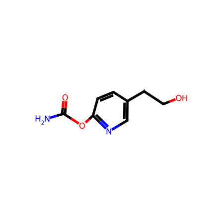 NC(=O)Oc1ccc([CH]CO)cn1